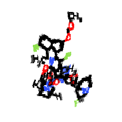 CCc1c(F)ccc2cc(OCOC)cc(-c3nc4c5c(nc(OC[C@]67CCCN6C[C@@H](F)C7)nc5c3F)N3C[C@H]5CC[C@@H]([C@H]3CO4)N5C(=O)OC(C)(C)C)c12